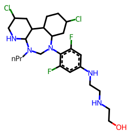 CCCN1CN(c2c(F)cc(NCCNCCO)cc2F)C2CC(Cl)CCC2C2CC(Cl)CNC21